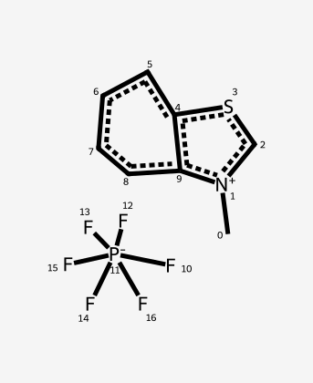 C[n+]1csc2ccccc21.F[P-](F)(F)(F)(F)F